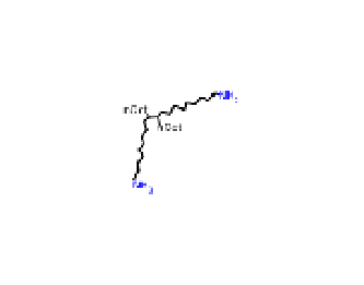 CCCCCCCCC(CCCCCCCCCN)C(CCCCCCCC)CCCCCCCCCN